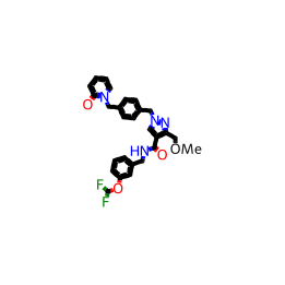 COCc1nn(Cc2ccc(Cn3ccccc3=O)cc2)cc1C(=O)NCc1cccc(OC(F)F)c1